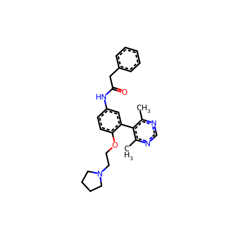 Cc1ncnc(C)c1-c1cc(NC(=O)Cc2ccccc2)ccc1OCCN1CCCC1